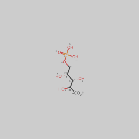 O=C(O)[C@@H](O)[C@@H](O)[C@H](O)COP(=O)(O)O